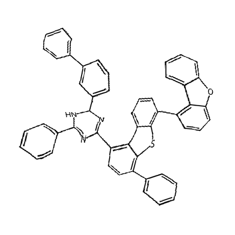 c1ccc(C2=NC(c3ccc(-c4ccccc4)c4sc5c(-c6cccc7oc8ccccc8c67)cccc5c34)=NC(c3cccc(-c4ccccc4)c3)N2)cc1